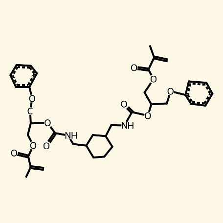 C=C(C)C(=O)OCC(COc1ccccc1)OC(=O)NCC1CCCC(CNC(=O)OC(COC(=O)C(=C)C)COc2ccccc2)C1